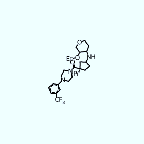 CCOC1COCCC1NC1CC[C@@](C(=O)N2CCN(c3cccc(C(F)(F)F)c3)CC2)(C(C)C)C1